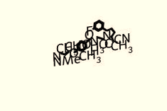 CN/N=C(C)\C=C(/C=O)Oc1ccc(C(=O)NCC(=O)N2C(c3cccc(F)c3)CCC2C(C)(C)C#N)cc1C